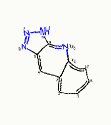 [c]1ccc2cc3nn[nH]c3nc2c1